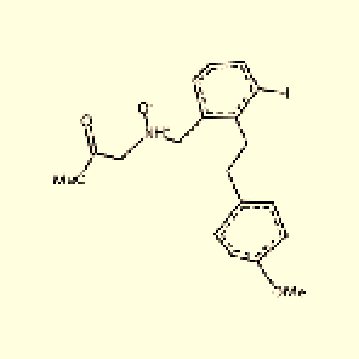 COC(=O)C[NH+]([O-])Cc1cccc(I)c1CCc1ccc(OC)cc1